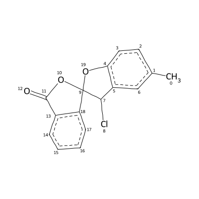 Cc1ccc2c(c1)C(Cl)C1(OC(=O)c3ccccc31)O2